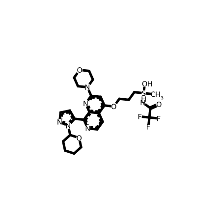 C[SH](O)(CCCOc1cc(N2CCOCC2)nc2c(-c3ccnn3C3CCCCO3)nccc12)=NC(=O)C(F)(F)F